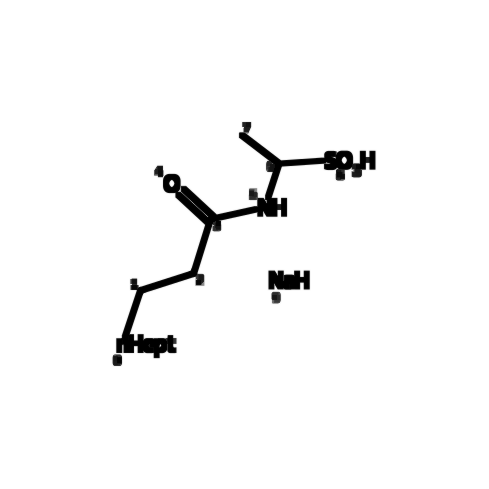 CCCCCCCCCC(=O)NC(C)S(=O)(=O)O.[NaH]